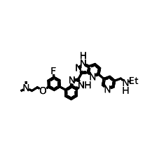 CCNCc1cncc(-c2ccc3[nH]nc(-c4nc5c(-c6cc(F)cc(OCCN(C)C)c6)cccc5[nH]4)c3n2)c1